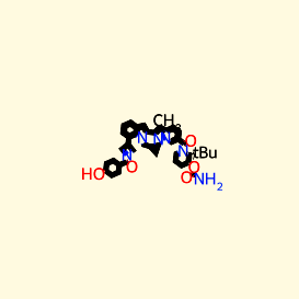 Cc1c(-c2cc3cccc(C4CN(C(=O)C5CCC(O)CC5)C4)c3n2CC2CC2)nn2cc(C(=O)N3CCCC(OC(N)=O)[C@H]3C(C)(C)C)ccc12